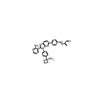 C=C(C=O)CNc1ccc(-c2ccc3nc(-c4cccnc4N)n(-c4ccc(C5(N)CCC5)cc4)c3n2)cc1